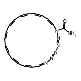 NC(=O)N1C=CC=CC=CC=CC=CC=CC=CC=CC=NN=NN=N1